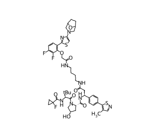 Cc1cnsc1-c1ccc([C@H](CC(=O)NCCCCNC(=O)COc2c(-c3nc(N4CC5CCC(C4)O5)cs3)ccc(F)c2F)NC(=O)[C@@H]2C[C@@H](O)CN2C(=O)[C@@H](NC(=O)C2(F)CC2)C(C)(C)C)cc1